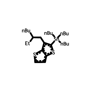 CCCCC(CC)Cc1[c]([Sn]([CH2]CCC)([CH2]CCC)[CH2]CCC)sc2ccsc12